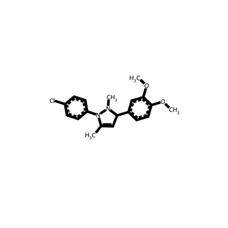 COc1ccc(C2C=C(C)N(c3ccc(Cl)cc3)N2C)cc1OC